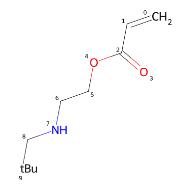 C=CC(=O)OCCNCC(C)(C)C